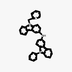 c1ccc(Cn2c3ccccc3c3cc(Nc4ccc5c(c4)c4ccccc4n5-c4ccccc4)ccc32)cc1